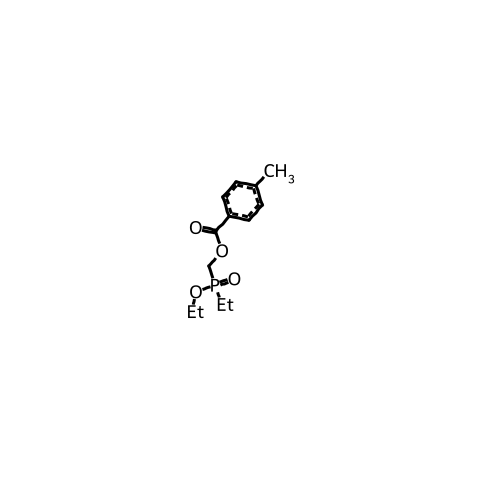 CCOP(=O)(CC)COC(=O)c1ccc(C)cc1